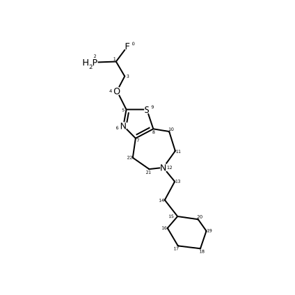 FC(P)COc1nc2c(s1)CCN(CCC1CCCCC1)CC2